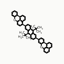 CC(C)(C)c1c2ccc(-c3ccc4c5c(cccc35)-c3ccccc3O4)cc2c(C(C)(C)C)c2ccc(-c3ccc4c(c3)Oc3cccc5cccc-4c35)cc12